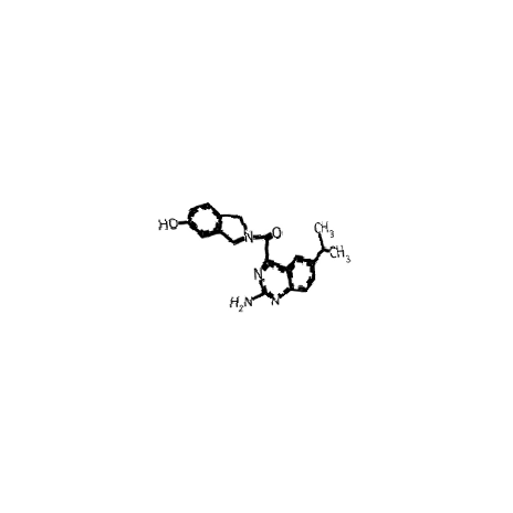 CC(C)c1ccc2nc(N)nc(C(=O)N3Cc4ccc(O)cc4C3)c2c1